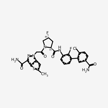 Cc1cc2c(s1)c(C(N)=O)nn2CC(=O)N1C[C@H](F)C[C@H]1C(=O)Nc1cccc(-c2cc(C(N)=O)ccc2Cl)c1F